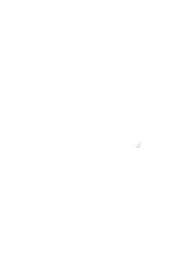 C=CCC(C)O[SiH3]